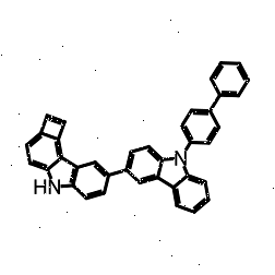 C1=Cc2c1ccc1[nH]c3ccc(-c4ccc5c(c4)c4ccccc4n5-c4ccc(-c5ccccc5)cc4)cc3c21